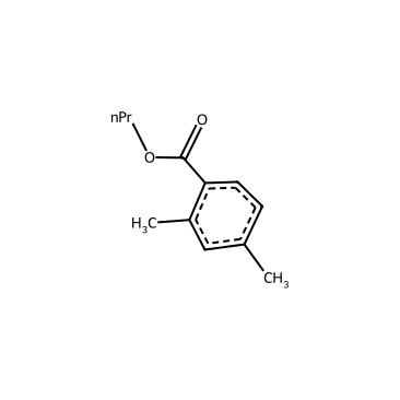 CCCOC(=O)c1ccc(C)cc1C